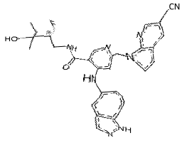 CC(C)(O)[C@H](F)CNC(=O)c1cnc(-n2ccc3cc(C#N)cnc32)cc1Nc1ccc2[nH]ncc2c1